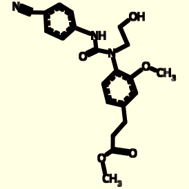 COC(=O)CCc1ccc(N(CCO)C(=O)Nc2ccc(C#N)cc2)c(OC)c1